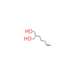 [CH]=CCCCC(CO)CO